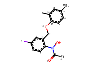 CCC(=O)N(O)c1ccc(I)cc1COc1ccc(CC)cc1C